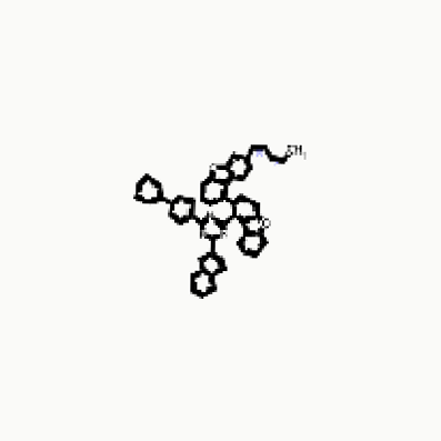 C/C=C\C=C/c1ccc2c(c1)oc1cccc(-c3ccc4oc5ccccc5c4c3-c3nc(-c4ccc(-c5ccccc5)cc4)nc(-c4ccc5ccccc5c4)n3)c12